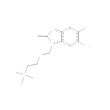 COc1cc2c(cc1Br)nc(C)n2COCC[Si](C)(C)C